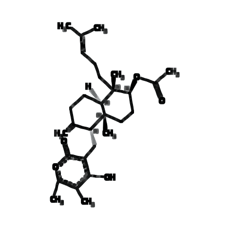 C=C1CC[C@H]2[C@](C)(CCC=C(C)C)[C@@H](OC(C)=O)CC[C@]2(C)[C@@H]1Cc1c(O)c(C)c(C)oc1=O